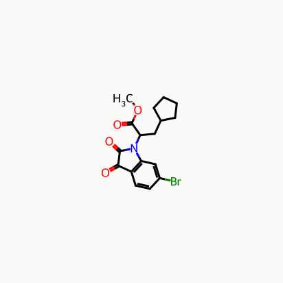 COC(=O)C(CC1CCCC1)N1C(=O)C(=O)c2ccc(Br)cc21